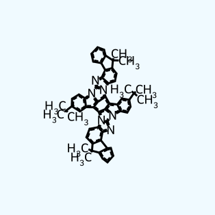 CC(C)(C)c1ccc2c(c1)c1c3c4c(c5cc(C(C)(C)C)ccc5n4c4nc5c6c(ccc5n34)C(C)(C)c3ccccc3-6)c3c1n2c1nc2c4c(ccc2n31)C(C)(C)c1ccccc1-4